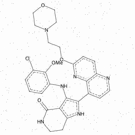 COc1c(Cl)cccc1Nc1c(-c2ccnc3ccc(OCCN4CCOCC4)nc23)[nH]c2c1C(=O)NCC2